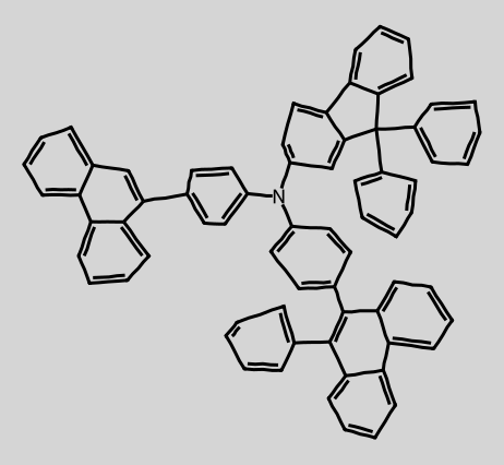 c1ccc(-c2c(-c3ccc(N(c4ccc(-c5cc6ccccc6c6ccccc56)cc4)c4ccc5c(c4)C(c4ccccc4)(c4ccccc4)c4ccccc4-5)cc3)c3ccccc3c3ccccc23)cc1